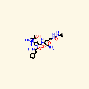 CC(C)(O)C1=CNNN1[C@H]1C[C@@H](C(=O)NC(CCCCNC(=O)NC2CC2)C(=O)C(N)=O)N(C(=O)[C@H](N)CC2CCCCC2)C1